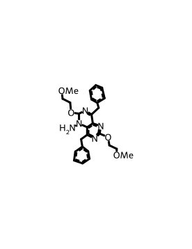 COCCOc1nc(Cc2ccccc2)c2c(n1)C(Cc1ccccc1)=NC(OCCOC)N2N